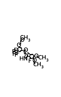 CCOc1cc2c(c(F)c1OCC)C(=N)N(CC(=O)c1cc(OCCOC)cc(S(F)(F)(F)(F)F)c1)C2